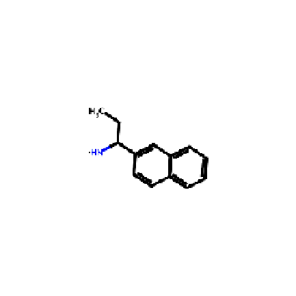 CCC([NH])c1ccc2ccccc2c1